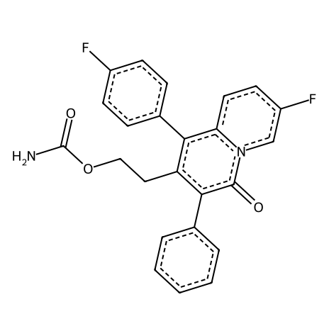 NC(=O)OCCc1c(-c2ccccc2)c(=O)n2cc(F)ccc2c1-c1ccc(F)cc1